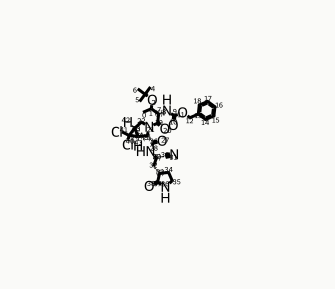 CC(OC(C)(C)C)[C@H](NC(=O)OCc1ccccc1)C(=O)N1C[C@H]2[C@@H]([C@H]1C(=O)N[C@H](C#N)C[C@@H]1CCNC1=O)C2(Cl)Cl